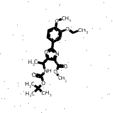 CCOc1cc(-c2nc(C(=O)OC)c(C(C)NC(=O)OC(C)(C)C)o2)ccc1OC